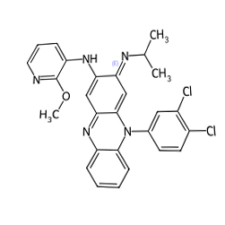 COc1ncccc1Nc1cc2nc3ccccc3n(-c3ccc(Cl)c(Cl)c3)c-2c/c1=N\C(C)C